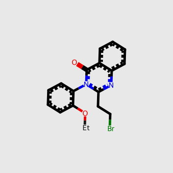 CCOc1ccccc1-n1c(CCBr)nc2ccccc2c1=O